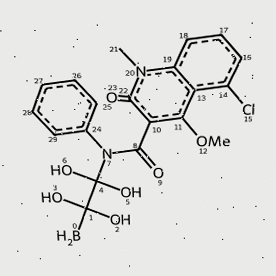 BC(O)(O)C(O)(O)N(C(=O)c1c(OC)c2c(Cl)cccc2n(C)c1=O)c1ccccc1